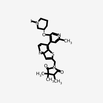 Cc1cc(-c2ccnc3cc(CN4C(=O)C(C)C(C)(C)C4=O)sc23)c(O[C@H]2CCCN(I)C2)cn1